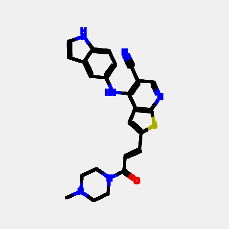 CN1CCN(C(=O)C=Cc2cc3c(Nc4ccc5[nH]ccc5c4)c(C#N)cnc3s2)CC1